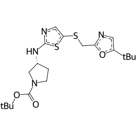 CC(C)(C)OC(=O)N1CC[C@@H](Nc2ncc(SCc3ncc(C(C)(C)C)o3)s2)C1